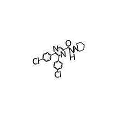 O=C(NN1CCCCC1)c1cnc(-c2ccc(Cl)cc2)c(-c2ccc(Cl)cc2)n1